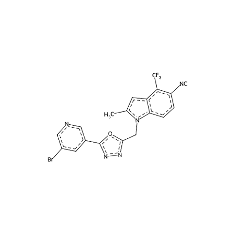 [C-]#[N+]c1ccc2c(cc(C)n2Cc2nnc(-c3cncc(Br)c3)o2)c1C(F)(F)F